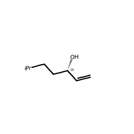 C=C[C@@H](O)CCC(C)C